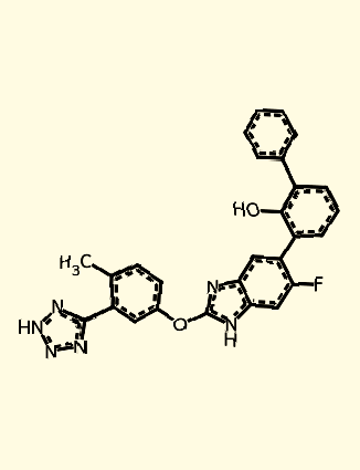 Cc1ccc(Oc2nc3cc(-c4cccc(-c5ccccc5)c4O)c(F)cc3[nH]2)cc1-c1nn[nH]n1